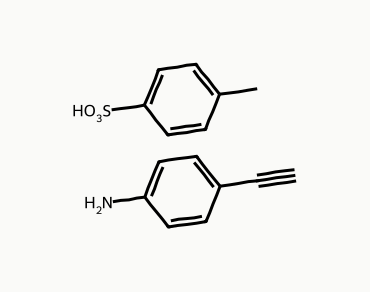 C#Cc1ccc(N)cc1.Cc1ccc(S(=O)(=O)O)cc1